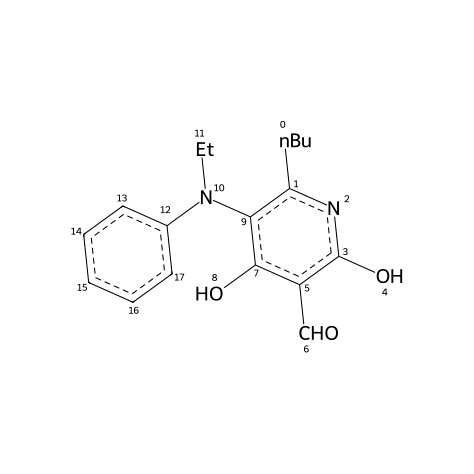 CCCCc1nc(O)c(C=O)c(O)c1N(CC)c1ccccc1